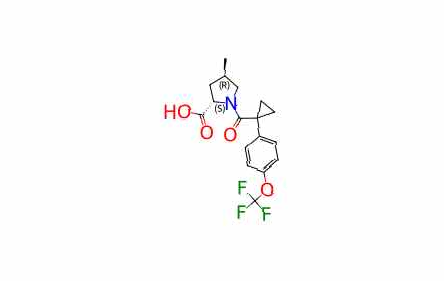 C[C@@H]1C[C@@H](C(=O)O)N(C(=O)C2(c3ccc(OC(F)(F)F)cc3)CC2)C1